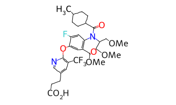 COCC(COC)N(C(=O)C1CCC(C)CC1)c1cc(F)c(Oc2ncc(CCC(=O)O)cc2C(F)(F)F)cc1C(=O)OC